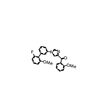 COc1ccccc1C(=O)c1cn(-c2cccc(-c3c(F)cccc3OC)c2)cn1